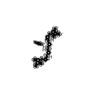 Cc1ccc(C(=O)Nc2ccc(S(=O)(=O)[O-])c3cc(S(=O)(=O)[O-])cc(S(=O)(=O)[O-])c23)cc1NC(=O)c1cccc(NC(=O)Nc2cccc(C(=O)Nc3cc(C(=O)Nc4ccc(S(=O)(=O)[O-])c5cc(S(=O)(=O)[O-])cc(S(=O)(=O)[O-])c45)ccc3C)c2)c1.[Na+].[Na+].[Na+].[Na+].[Na+].[Na+]